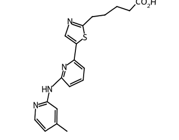 Cc1ccnc(Nc2cccc(-c3cnc(CCCCC(=O)O)s3)n2)c1